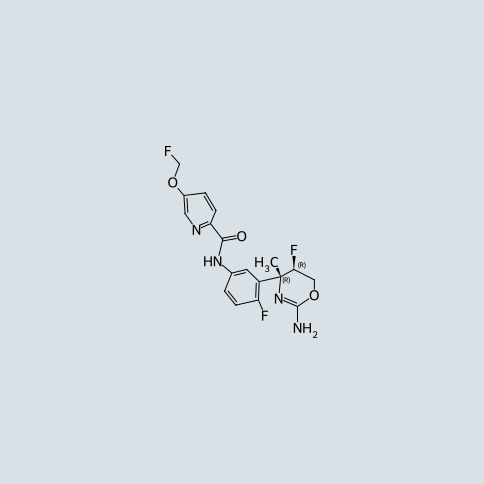 C[C@]1(c2cc(NC(=O)c3ccc(OCF)cn3)ccc2F)N=C(N)OC[C@@H]1F